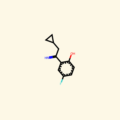 N=C(CC1CC1)c1cc(F)ccc1O